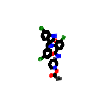 CC(C)(C)C(=O)ON1CCC[C@H](NC(=O)c2ccc(Br)cc2NC2(Cc3cccc(Cl)c3)C(=O)Nc3cc(Cl)ccc32)C1